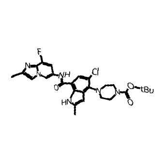 Cc1cn2cc(NC(=O)c3cc(Cl)c(N4CCN(C(=O)OC(C)(C)C)CC4)c4cc(C)[nH]c34)cc(F)c2n1